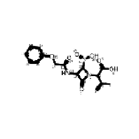 C=C(C)C(C(=O)O)N1C(=O)C(NC(=O)COc2ccccc2)C1S(=O)O